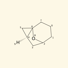 C1CC2C[C@H]3CC3(C1)O2